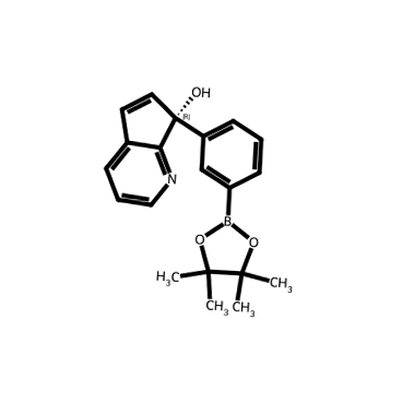 CC1(C)OB(c2cccc([C@]3(O)C=Cc4cccnc43)c2)OC1(C)C